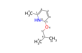 CC1=CC=CC(OCC(C)C)N1